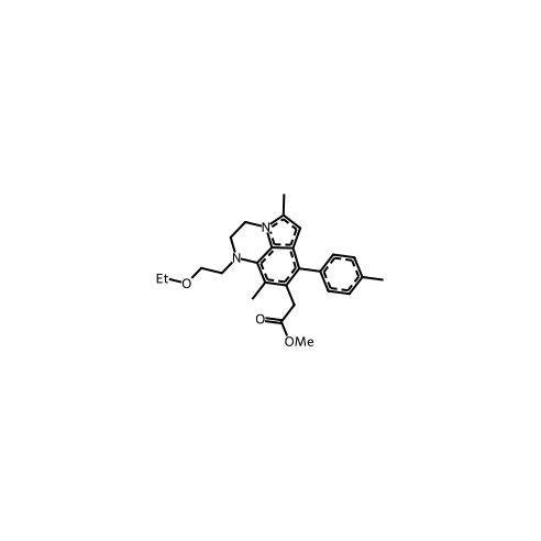 CCOCCN1CCn2c(C)cc3c(-c4ccc(C)cc4)c(CC(=O)OC)c(C)c1c32